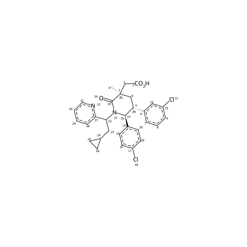 C[C@]1(CC(=O)O)C[C@H](c2cccc(Cl)c2)[C@@H](c2ccc(Cl)cc2)N(C(CC2CC2)c2ccccn2)C1=O